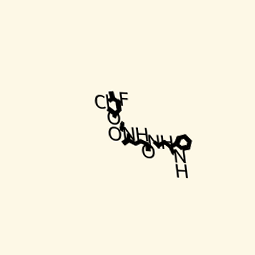 C=C(CCC(=O)NCCC1CNc2ccccc21)NC(=O)COC(=C)/C=C(/F)C(=C)Cl